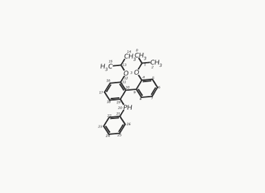 CC(C)Oc1ccccc1-c1c(OC(C)C)cccc1Pc1ccccc1